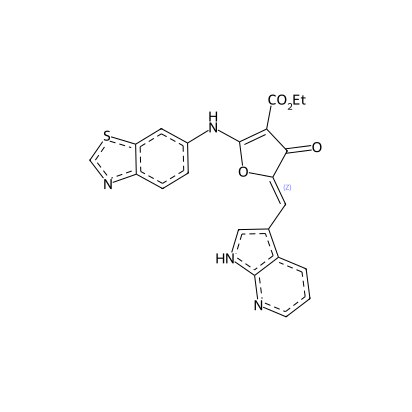 CCOC(=O)C1=C(Nc2ccc3ncsc3c2)O/C(=C\c2c[nH]c3ncccc23)C1=O